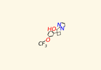 OC(c1ncccn1)C1(c2cccc(OCC(F)(F)F)c2)CCC1